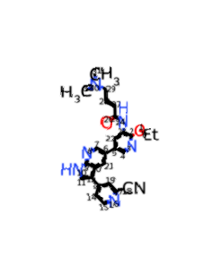 CCOc1ncc(-c2cnc3[nH]cc(-c4ccnc(C#N)c4)c3c2)cc1NC(=O)/C=C/CN(C)C